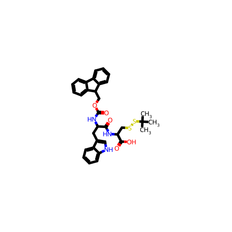 CC(C)(C)SSCC(NC(=O)C(Cc1c[nH]c2ccccc12)NC(=O)OCC1c2ccccc2-c2ccccc21)C(=O)O